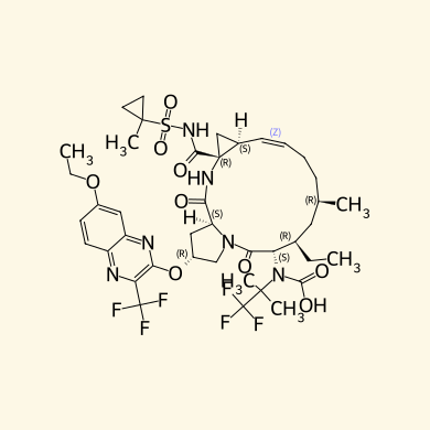 CCOc1ccc2nc(C(F)(F)F)c(O[C@@H]3C[C@H]4C(=O)N[C@]5(C(=O)NS(=O)(=O)C6(C)CC6)C[C@H]5/C=C\CC[C@@H](C)C[C@@H](CC)[C@H](N(C(=O)O)C(C)(C)C(F)(F)F)C(=O)N4C3)nc2c1